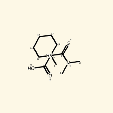 CN(C)C(=S)[SH]1(C)(C(=O)O)CCCCC1